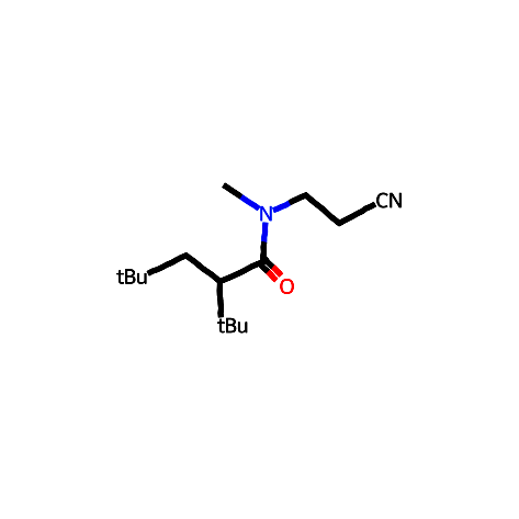 CN(CCC#N)C(=O)C(CC(C)(C)C)C(C)(C)C